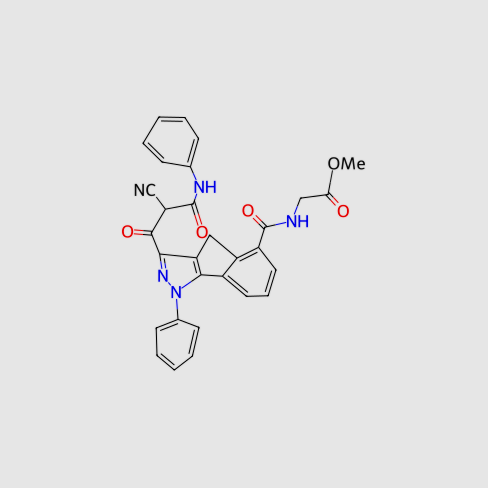 COC(=O)CNC(=O)c1cccc2c1Cc1c(C(=O)C(C#N)C(=O)Nc3ccccc3)nn(-c3ccccc3)c1-2